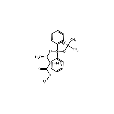 COC(=O)[C@@H](N)[C@@H](C)O[Si](OC(C)(C)C)(c1ccccc1)c1ccccc1